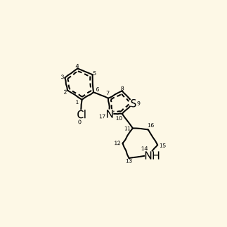 Clc1ccccc1-c1csc(C2CCNCC2)n1